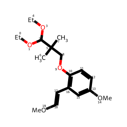 CCOC(OCC)C(C)(C)COc1ccc(OC)cc1C=COC